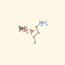 CCCC[NH3+].[Br-].[Br-].[Br-].[Sn+2]